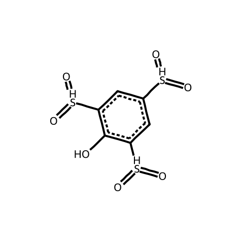 O=[SH](=O)c1cc([SH](=O)=O)c(O)c([SH](=O)=O)c1